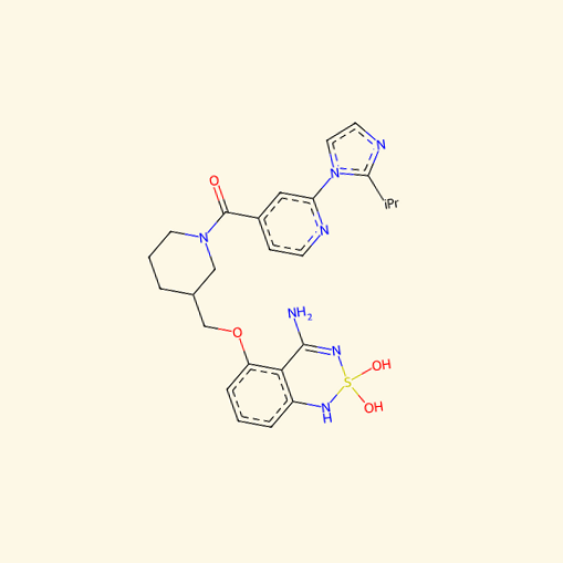 CC(C)c1nccn1-c1cc(C(=O)N2CCCC(COc3cccc4c3C(N)=NS(O)(O)N4)C2)ccn1